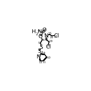 NP(=O)(OCCSSc1ccccn1)N(CCCl)CCCl